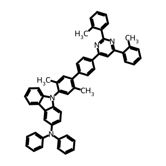 Cc1cc(-n2c3ccccc3c3cc(N(c4ccccc4)c4ccccc4)ccc32)c(C)cc1-c1ccc(-c2cc(-c3ccccc3C)nc(-c3ccccc3C)n2)cc1